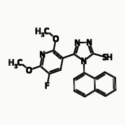 COc1nc(OC)c(-c2nnc(S)n2-c2cccc3ccccc23)cc1F